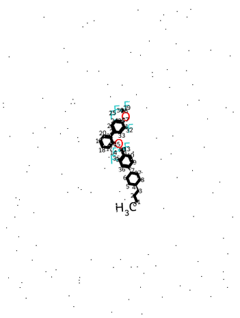 CCCC[C@H]1CC[C@H](c2ccc(C(F)(F)Oc3ccccc3-c3cc(F)c(OC(F)F)c(F)c3)c(F)c2)CC1